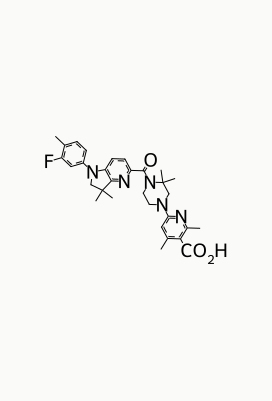 Cc1ccc(N2CC(C)(C)c3nc(C(=O)N4CCN(c5cc(C)c(C(=O)O)c(C)n5)CC4(C)C)ccc32)cc1F